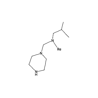 CC(C)C[N]([Re])CN1CCNCC1